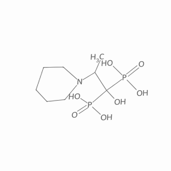 CC(N1CCCCC1)C(O)(P(=O)(O)O)P(=O)(O)O